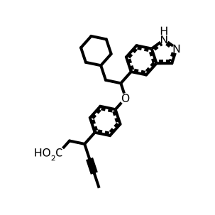 CC#CC(CC(=O)O)c1ccc(OC(CC2CCCCC2)c2ccc3[nH]ncc3c2)cc1